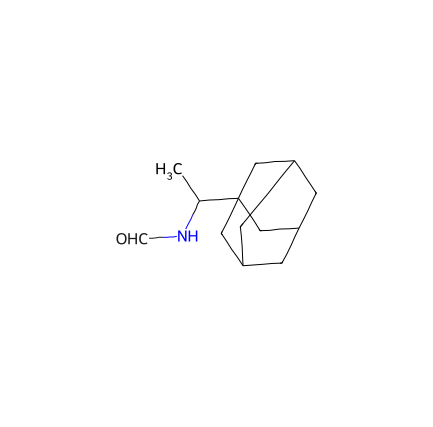 CC(NC=O)C12CC3CC(CC(C3)C1)C2